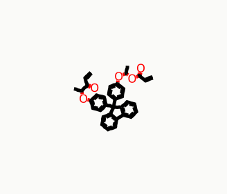 C=CC(=O)OC(C)Oc1ccc(C2(c3ccc(OC(C)C(=O)C=C)cc3)c3ccccc3-c3ccccc32)cc1